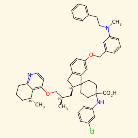 C[C@@H](COc1ccnc2c1[C@H](C)CCC2)C[C@H]1Cc2ccc(OCc3cccc(N(C)CCc4ccccc4)c3)cc2C12CCC(Nc1cccc(Cl)c1)(C(=O)O)CC2